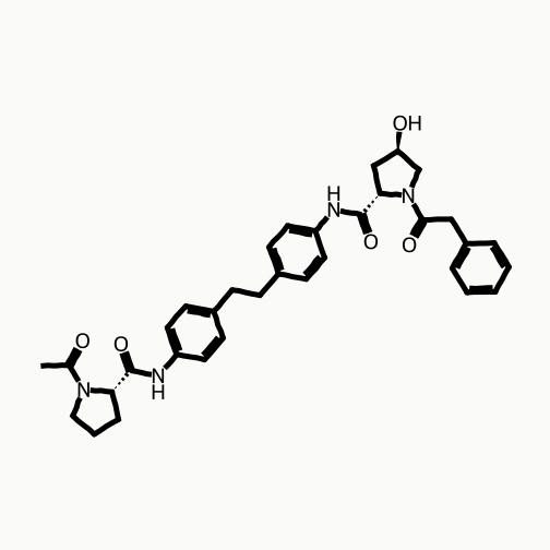 CC(=O)N1CCC[C@H]1C(=O)Nc1ccc(CCc2ccc(NC(=O)[C@@H]3C[C@@H](O)CN3C(=O)Cc3ccccc3)cc2)cc1